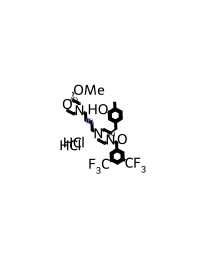 COC[C@@H]1CN(C/C=C/CN2CCN(C(=O)c3cc(C(F)(F)F)cc(C(F)(F)F)c3)[C@H](Cc3ccc(C)c(O)c3)C2)CCO1.Cl.Cl